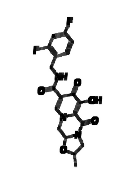 CC1CN2C(=O)c3c(O)c(=O)c(C(=O)NCc4ccc(F)cc4F)cn3CC2O1